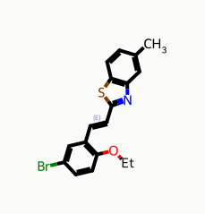 CCOc1ccc(Br)cc1/C=C/c1nc2cc(C)ccc2s1